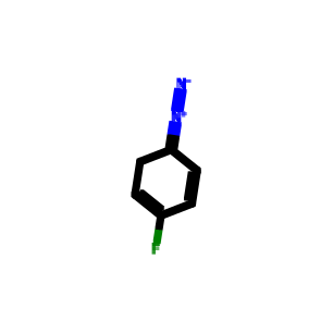 [N-]=[N+]=C1C=CC(F)=CC1